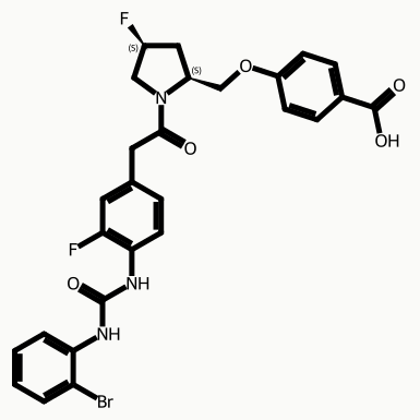 O=C(Nc1ccc(CC(=O)N2C[C@@H](F)C[C@H]2COc2ccc(C(=O)O)cc2)cc1F)Nc1ccccc1Br